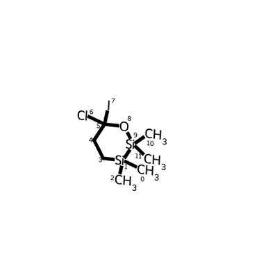 C[Si]1(C)CCC(Cl)(I)O[Si]1(C)C